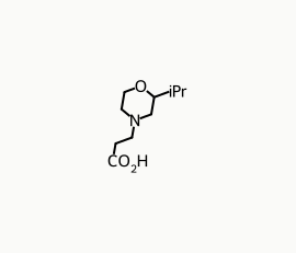 CC(C)C1CN(CCC(=O)O)CCO1